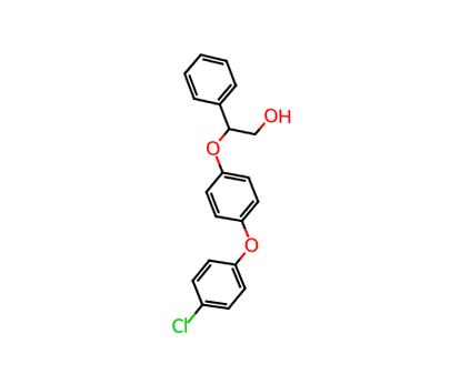 OCC(Oc1ccc(Oc2ccc(Cl)cc2)cc1)c1ccccc1